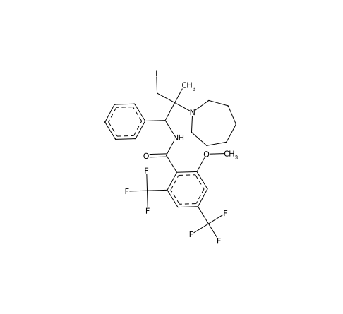 COc1cc(C(F)(F)F)cc(C(F)(F)F)c1C(=O)NC(c1ccccc1)C(C)(CI)N1CCCCCC1